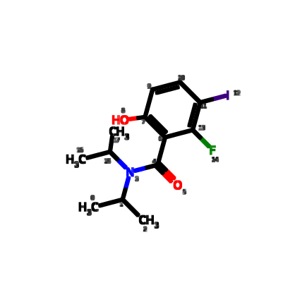 CC(C)N(C(=O)c1c(O)ccc(I)c1F)C(C)C